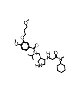 COCCCOc1cc(C(=O)N(C[C@@H]2CNC[C@H]2NCC(=O)N(C)C2CCCCC2)C(C)C)ccc1OC